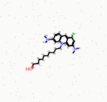 CN(C)C1=CC(Br)C2=Cc3ccc(N(C)C)cc3N(CCCCCCCCCCO)C2=C1